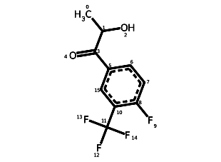 CC(O)C(=O)c1ccc(F)c(C(F)(F)F)c1